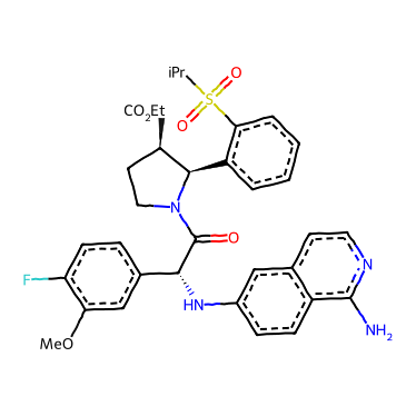 CCOC(=O)[C@@H]1CCN(C(=O)[C@H](Nc2ccc3c(N)nccc3c2)c2ccc(F)c(OC)c2)[C@@H]1c1ccccc1S(=O)(=O)C(C)C